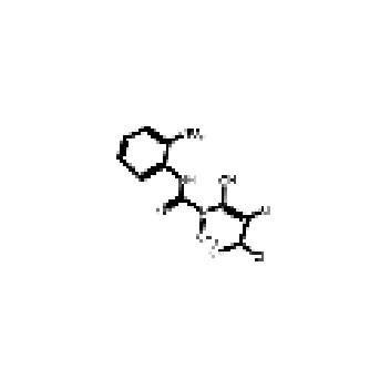 CN(C(=O)Nc1ccccc1[N+](=O)[O-])/C(O)=C(/Cl)C(Cl)Cl